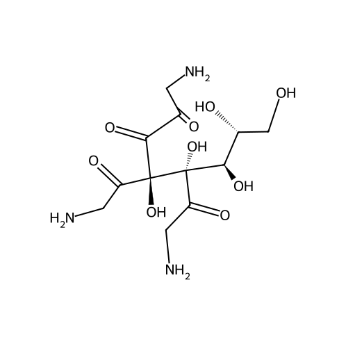 NCC(=O)C(=O)[C@@](O)(C(=O)CN)[C@](O)(C(=O)CN)[C@H](O)[C@H](O)CO